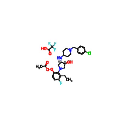 CCc1c(F)ccc(OOC(C)=O)c1N1C[C@H](NC2CCN(Cc3ccc(Cl)cc3)CC2)[C@@H](O)C1.O=C(O)C(F)(F)F